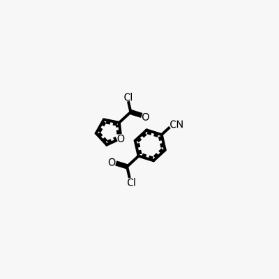 N#Cc1ccc(C(=O)Cl)cc1.O=C(Cl)c1ccco1